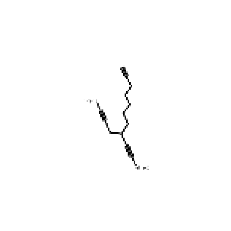 C#CCCCCC[C](C#CCCCCCC)CC#CCCCCC